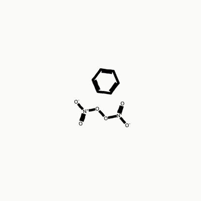 O=[N+]([O-])OO[N+](=O)[O-].c1ccccc1